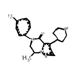 CC1CN(c2ccc(C(F)(F)F)cc2)C(=O)c2c(C3CCNCC3)cnn21